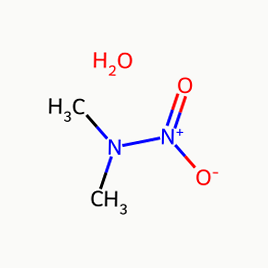 CN(C)[N+](=O)[O-].O